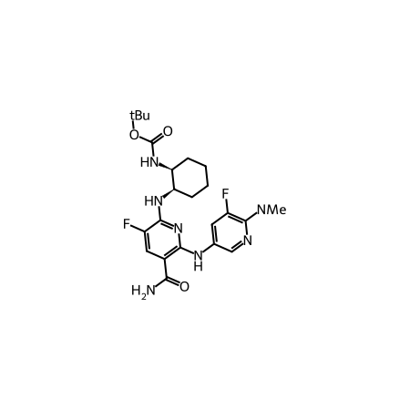 CNc1ncc(Nc2nc(N[C@@H]3CCCC[C@@H]3NC(=O)OC(C)(C)C)c(F)cc2C(N)=O)cc1F